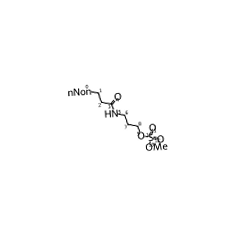 CCCCCCCCCCCC(=O)NCCCOS(=O)(=O)OC